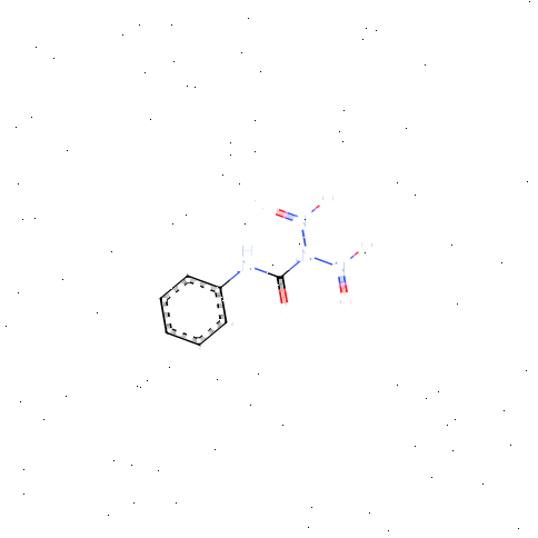 O=C(Nc1ccccc1)N([N+](=O)[O-])[N+](=O)[O-]